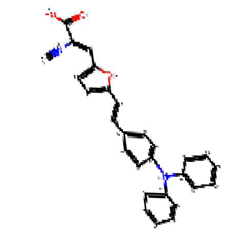 [C-]#[N+]/C(=C\c1ccc(/C=C/c2ccc(N(c3ccccc3)c3ccccc3)cc2)o1)C(=O)O